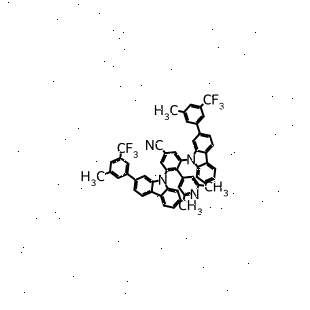 Cc1cc(-c2ccc3c4ccccc4n(-c4cc(C#N)cc(-n5c6ccccc6c6ccc(-c7cc(C)cc(C(F)(F)F)c7)cc65)c4-c4cc(C)nc(C)c4)c3c2)cc(C(F)(F)F)c1